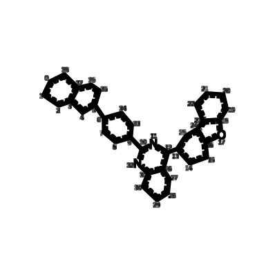 c1ccc2cc(-c3ccc(-c4nc(-c5ccc6oc7ccccc7c6c5)c5ccccc5n4)cc3)ccc2c1